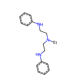 CCN(CCNc1ccccc1)CCNc1ccccc1